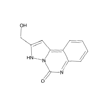 O=c1nc2ccccc2c2cc(CO)[nH]n12